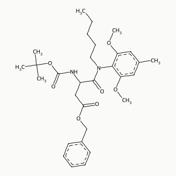 CCCCCN(C(=O)C(CC(=O)OCc1ccccc1)NC(=O)OC(C)(C)C)c1c(OC)cc(C)cc1OC